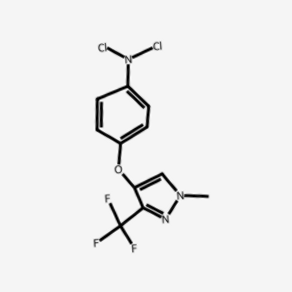 Cn1cc(Oc2ccc(N(Cl)Cl)cc2)c(C(F)(F)F)n1